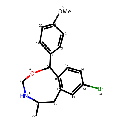 COc1ccc(C2OCNC(C)Cc3cc(Br)ccc32)cc1